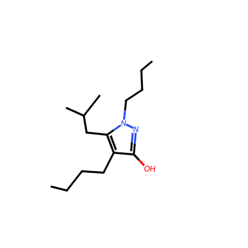 CCCCc1c(O)nn(CCCC)c1CC(C)C